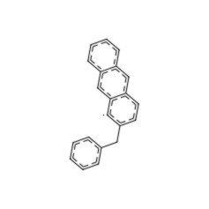 [c]1c(Cc2ccccc2)ccc2cc3ccccc3cc12